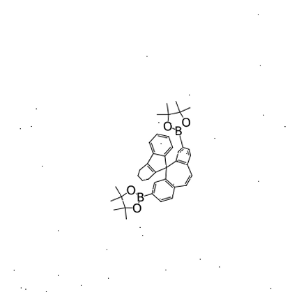 CC1(C)OB(c2ccc3c(c2)C2(C4=C(CCCC4)c4ccccc42)c2cc(B4OC(C)(C)C(C)(C)O4)ccc2C=C3)OC1(C)C